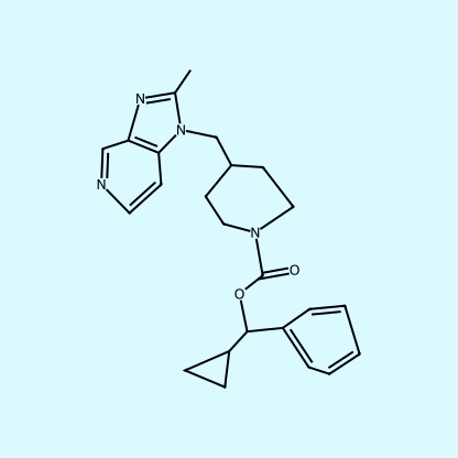 Cc1nc2cnccc2n1CC1CCN(C(=O)OC(c2ccccc2)C2CC2)CC1